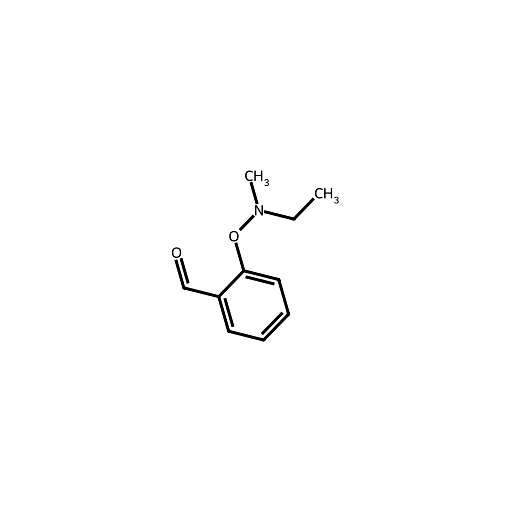 CCN(C)Oc1ccccc1C=O